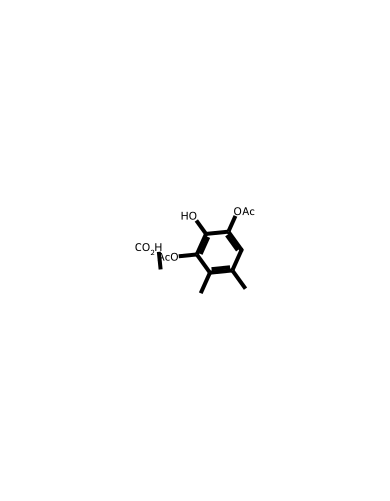 CC(=O)O.CC(=O)Oc1cc(C)c(C)c(OC(C)=O)c1O